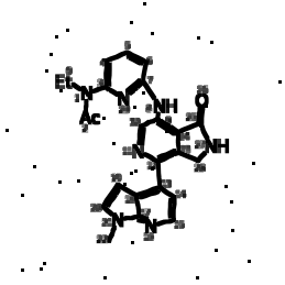 CCN(C(C)=O)c1cccc(Nc2cnc(-c3ccnc4c3ccn4C)c3c2C(=O)NC3)n1